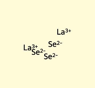 [La+3].[La+3].[Se-2].[Se-2].[Se-2]